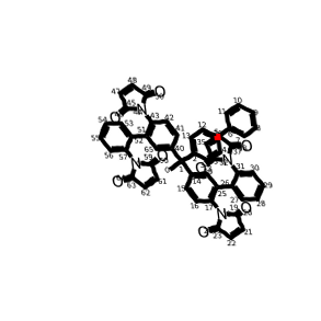 CC(c1ccc(-c2ccccc2)cc1)(c1ccc(N2C(=O)C=CC2=O)c(-c2ccccc2N2C(=O)C=CC2=O)c1)c1ccc(N2C(=O)C=CC2=O)c(-c2ccccc2N2C(=O)C=CC2=O)c1